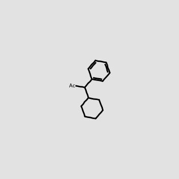 CC(=O)C(c1ccccc1)C1CCCCC1